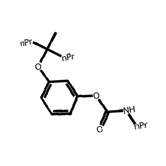 CCCNC(=O)Oc1cccc(OC(C)(CCC)CCC)c1